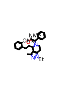 CCn1nc(C)c2c1CCN([C@@H](C(=O)NC)c1ccccc1)C2CCc1ccccc1OC